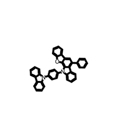 c1ccc(-c2cc3c4ccccc4oc3c3c2c2ccccc2n3-c2ccc(-n3c4ccccc4c4ccccc43)cc2)cc1